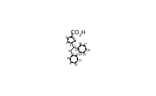 O=C(O)c1ccc(C(Cc2ccccc2)c2ccccc2)s1